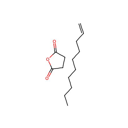 C=CCCCCCCCC.O=C1CCC(=O)O1